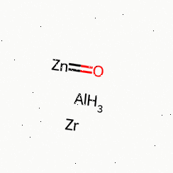 [AlH3].[O]=[Zn].[Zr]